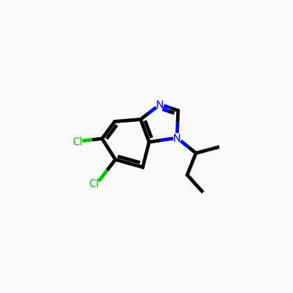 CCC(C)n1cnc2cc(Cl)c(Cl)cc21